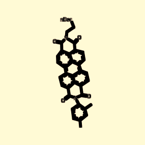 CCCCCCCCCCCCN1C(=O)c2ccc3c4ccc5c6c(ccc(c7ccc(c2c37)C1=O)c64)C(=O)N(c1ccc(C)cc1C)C5=O